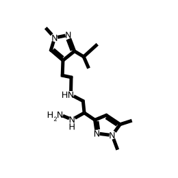 Cc1cc(C(CNCCc2cn(C)nc2C(C)C)NN)nn1C